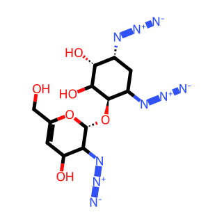 [N-]=[N+]=NC1C(O)C=C(CO)O[C@@H]1O[C@@H]1C(N=[N+]=[N-])C[C@@H](N=[N+]=[N-])[C@@H](O)C1O